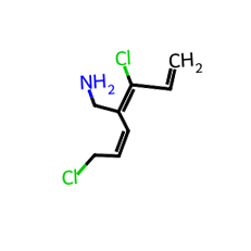 C=C/C(Cl)=C(\C=C/CCl)CN